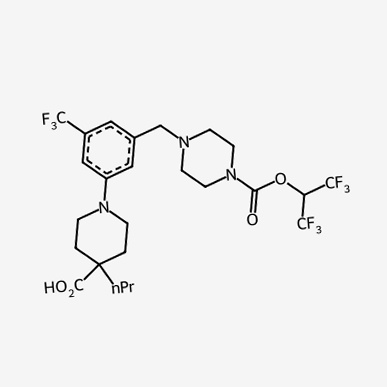 CCCC1(C(=O)O)CCN(c2cc(CN3CCN(C(=O)OC(C(F)(F)F)C(F)(F)F)CC3)cc(C(F)(F)F)c2)CC1